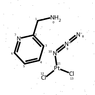 NCc1ccccn1.[N-]=[N+]=[N][Pt]([Cl])[Cl]